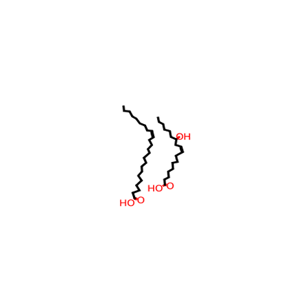 CCCCCCC(O)C/C=C\CCCCCCCC(=O)O.CCCCCCCC/C=C\CCCCCCCCCCCCCC(=O)O